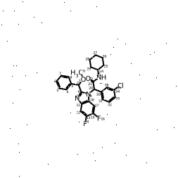 COC(c1ccccc1)c1nc2cc(F)c(F)cc2n1C(C(=O)NC1CCCCC1)c1cccc(Cl)c1